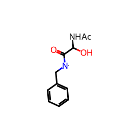 CC(=O)NC(O)C(=O)[N]Cc1ccccc1